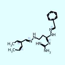 C\C=C/C(/C=N/NCC/C(=N\C(=N)N)N/N=C/c1ccccc1)=C\C